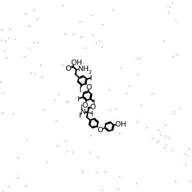 N[C@@H](Cc1cc(I)c(Oc2cc(I)c(OC(=O)[C@](I)(Cc3ccc(Oc4ccc(O)cc4)cc3)N(I)I)c(I)c2)c(I)c1)C(=O)O